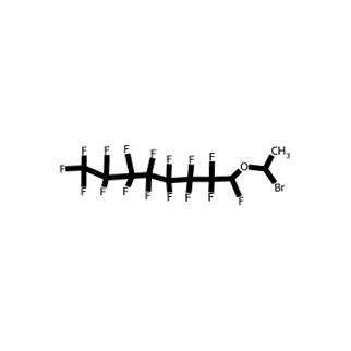 CC(Br)OC(F)C(F)(F)C(F)(F)C(F)(F)C(F)(F)C(F)(F)C(F)(F)C(F)(F)F